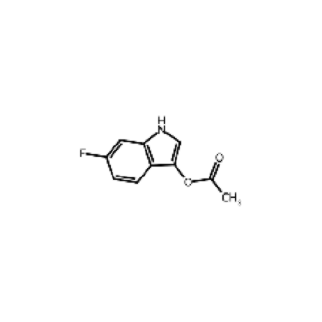 CC(=O)Oc1c[nH]c2cc(F)ccc12